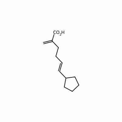 C=C(CCC=CC1CCCC1)C(=O)O